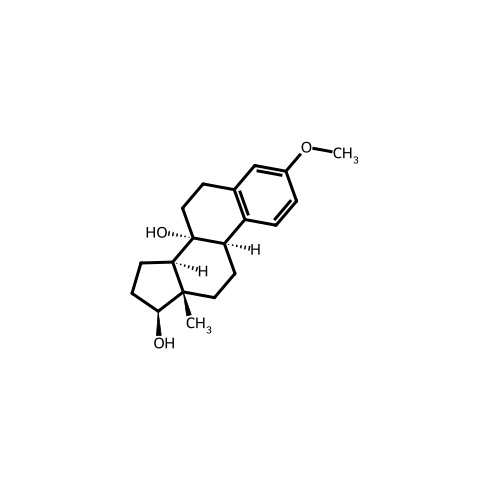 COc1ccc2c(c1)CC[C@@]1(O)[C@@H]2CC[C@@]2(C)[C@H]1CC[C@@H]2O